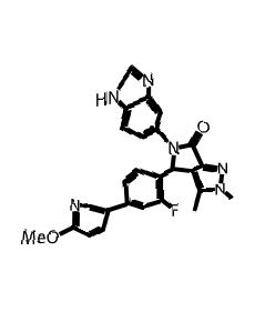 COc1ccc(-c2ccc(C3c4c(nn(C)c4C)C(=O)N3c3ccc4[nH]cnc4c3)c(F)c2)cn1